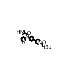 CC(C)(C)CC(=O)N1CCC(c2ccc(N(C(=O)C3CNC3)c3cccnc3)cc2)CC1